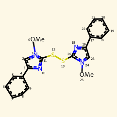 COn1cc(-c2ccccc2)nc1SSc1nc(-c2ccccc2)cn1OC